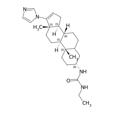 CCNC(=O)N[C@@H]1CC[C@@]2(C)C(CC[C@@H]3[C@@H]2CC[C@]2(C)C(n4ccnc4)=CC[C@@H]32)C1